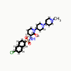 CN1CCC(N2CCC(N3CCC[C@H](NS(=O)(=O)c4ccc5cc(Cl)ccc5c4)C3=O)CC2)CC1